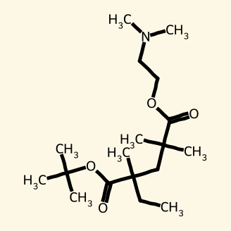 CCC(C)(CC(C)(C)C(=O)OCCN(C)C)C(=O)OC(C)(C)C